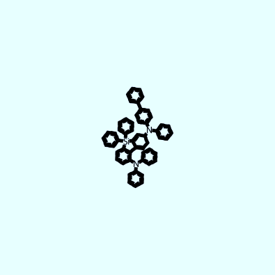 C1=C2C(=CC(N(c3ccccc3)c3ccc(-c4ccccc4)cc3)C1)[Si](c1ccccc1)(c1ccccc1)c1cccc(N(c3ccccc3)c3ccccc3)c12